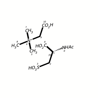 CC(=O)N[C@H](CS(=O)(=O)O)C(=O)O.C[N+](C)(C)CC(=O)O